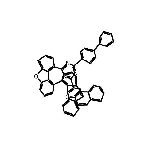 c1ccc(-c2ccc(-c3nc(-c4ccc5ccccc5c4)nc(-c4cccc5oc6cccc(-c7cccc8c7oc7ccc9ccccc9c78)c6c45)n3)cc2)cc1